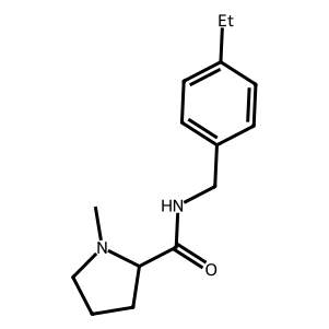 CCc1ccc(CNC(=O)C2CCCN2C)cc1